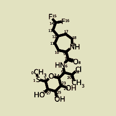 CSC1OC(C(NC(=O)C2CCC(CC(F)F)CCN2)C(C)Cl)C(O)C(O)C1O